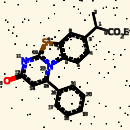 CCOC(=O)C(C)c1ccc2c(c1)sc1nc(=O)cc(-c3ccccc3)n12